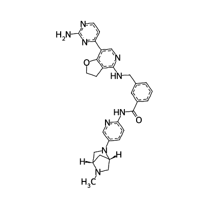 CN1C[C@@H]2C[C@H]1CN2c1ccc(NC(=O)c2cccc(CNc3ncc(-c4ccnc(N)n4)c4c3CCO4)c2)nc1